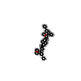 Fc1cc(-c2ccccc2)cc(-c2ccccc2)c1N(c1ccccc1)c1ccc2c(c1)oc1c2cc2ccc3c4oc5cc(N(c6ccccc6)c6c(F)cc(-c7ccccc7)cc6-c6ccccc6)ccc5c4cc4ccc1c2c43